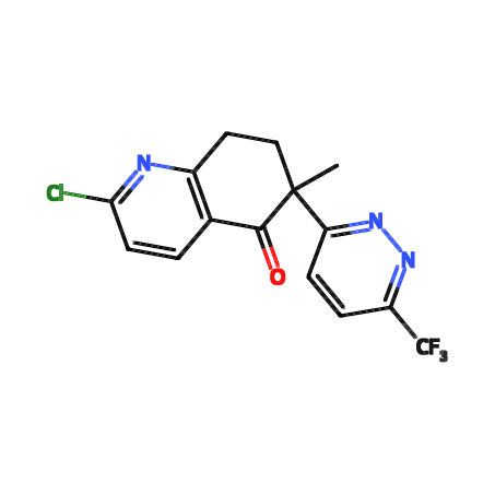 CC1(c2ccc(C(F)(F)F)nn2)CCc2nc(Cl)ccc2C1=O